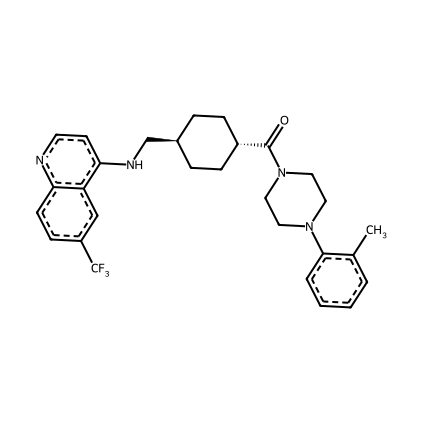 Cc1ccccc1N1CCN(C(=O)[C@H]2CC[C@H](CNc3ccnc4ccc(C(F)(F)F)cc34)CC2)CC1